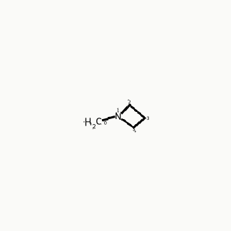 [CH2]N1CCC1